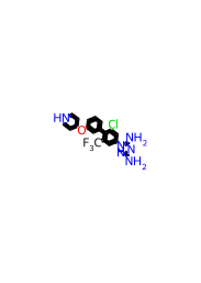 Nc1nc(N)n(-c2cc(Cl)c(-c3cccc(OC4CCNCC4)c3)c(C(F)(F)F)c2)n1